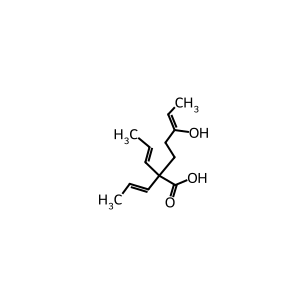 CC=CC(C=CC)(CCC(O)=CC)C(=O)O